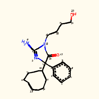 NC1=NC(c2ccccc2)(C2CCCCC2)C(=O)N1CCCCO